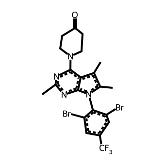 Cc1nc(N2CCC(=O)CC2)c2c(C)c(C)n(-c3c(Br)cc(C(F)(F)F)cc3Br)c2n1